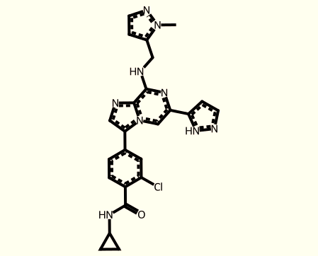 Cn1nccc1CNc1nc(-c2ccn[nH]2)cn2c(-c3ccc(C(=O)NC4CC4)c(Cl)c3)cnc12